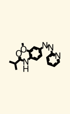 COc1cc(/N=N\c2ccccn2)ccc1NC(=O)C(C)C